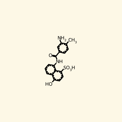 Cc1ccc(C(=O)Nc2cccc3c(O)ccc(S(=O)(=O)O)c23)cc1N